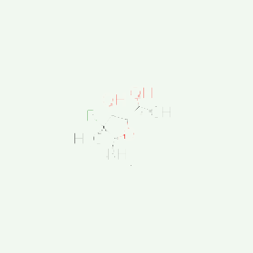 B[C@@H]1O[C@H](C(C)O)[C@@H](O)[C@@]1(C)F